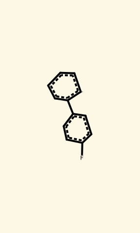 Fc1ccc(-c2[c]cccc2)cc1